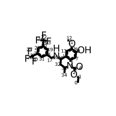 CCOC(=O)N1c2cc(O)c(OC)cc2C(NCc2cc(C(F)(F)F)cc(C(F)(F)F)c2)CC1C